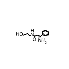 N[C@H](CC(=O)NCCCO)c1ccccc1